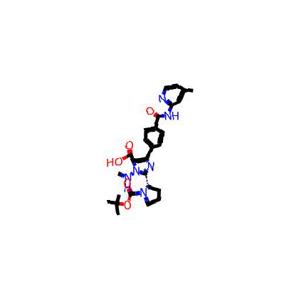 CNn1c([C@@H]2CCCN2C(=O)OC(C)(C)C)nc(-c2ccc(C(=O)Nc3cc(C)ccn3)cc2)c1C(=O)O